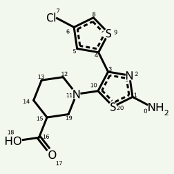 Nc1nc(-c2cc(Cl)cs2)c(N2CCCC(C(=O)O)C2)s1